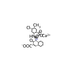 Cc1cc(S(=O)(=O)[O-])c(N/N=C2\C(=O)C(C(=O)[O-])=Cc3ccccc32)cc1Cl.[Ca+2]